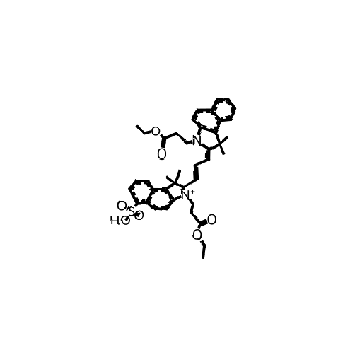 CCOC(=O)CCN1/C(=C\C=C\C2=[N+](CCC(=O)OCC)c3ccc4c(S(=O)(=O)O)cccc4c3C2(C)C)C(C)(C)c2c1ccc1ccccc21